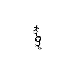 CC(C)(C)n1nnc(-c2ccc(CC(=O)O)cc2)n1